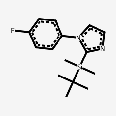 CC(C)(C)[Si](C)(C)c1nccn1-c1ccc(F)cc1